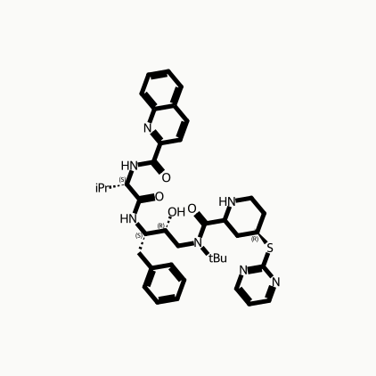 CC(C)[C@H](NC(=O)c1ccc2ccccc2n1)C(=O)N[C@@H](Cc1ccccc1)[C@H](O)CN(C(=O)C1C[C@H](Sc2ncccn2)CCN1)C(C)(C)C